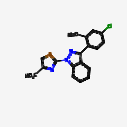 COc1cc(Cl)ccc1-c1nn(-c2nc(C(=O)O)cs2)c2ccccc12